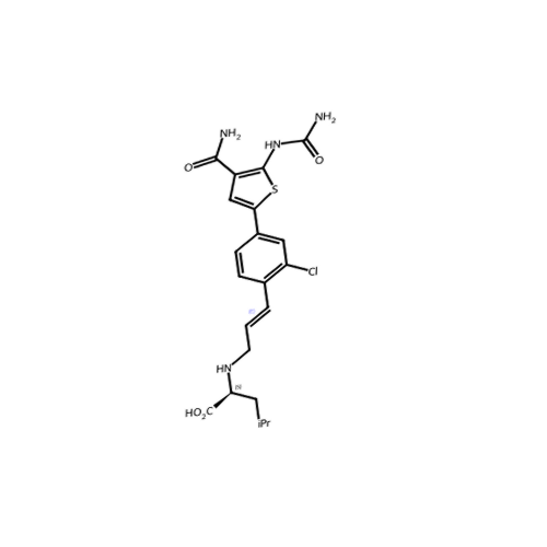 CC(C)C[C@H](NC/C=C/c1ccc(-c2cc(C(N)=O)c(NC(N)=O)s2)cc1Cl)C(=O)O